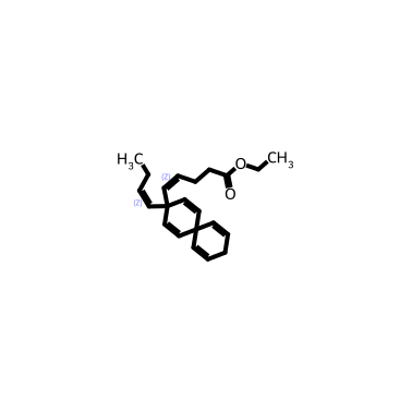 CC/C=C\C1(/C=C\CCC(=O)OCC)C=CC2(C=CCC=C2)C=C1